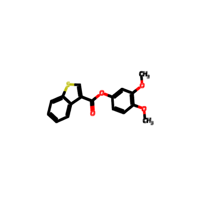 COc1ccc(OC(=O)c2csc3ccccc23)cc1OC